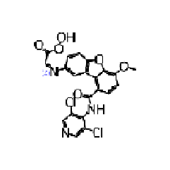 COc1ccc(C(=O)Nc2c(Cl)cncc2Cl)c2c1oc1ccc(/N=C\C(=O)OO)cc12